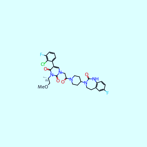 COC[C@H](C)n1c(=O)c(-c2cccc(F)c2Cl)cn(CC(=O)N2CCC(N3CCc4cc(F)ccc4NC3=O)CC2)c1=O